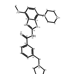 COc1ccc(N2CCOCC2)c2sc(NC(=O)c3cccc(CN4CCCC4)c3)nc12